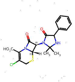 CC1(C)NC(c2ccccc2)C(=O)N1[C@@H]1C(=O)N2C(C(=O)O)=C(Cl)CS[C@@H]12